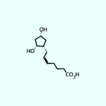 O=C(O)CCC/C=C\C[C@H]1C[C@@H](O)C[C@H]1O